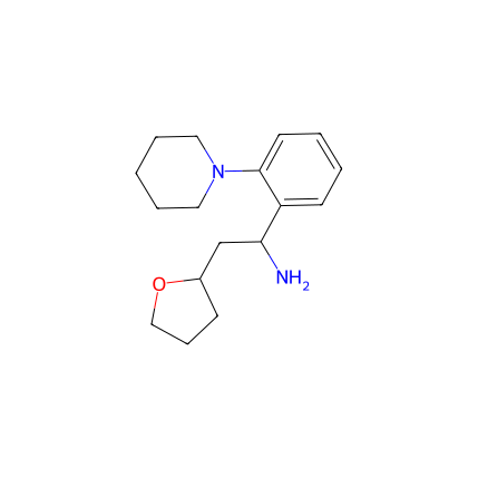 NC(CC1CCCO1)c1ccccc1N1CCCCC1